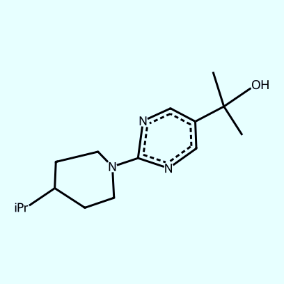 CC(C)C1CCN(c2ncc(C(C)(C)O)cn2)CC1